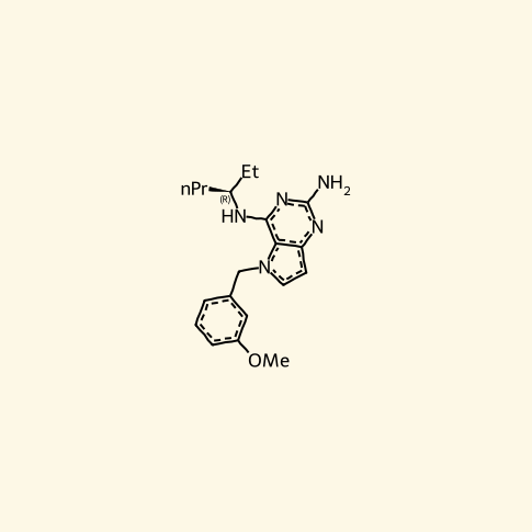 CCC[C@@H](CC)Nc1nc(N)nc2ccn(Cc3cccc(OC)c3)c12